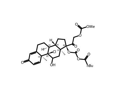 CCCCC(=O)OC(=O)O[C@]1(C(=O)COC(=O)OC)CC[C@H]2[C@@H]3CCC4=CC(=O)C=C[C@]4(C)[C@@]3(Cl)C(O)C[C@@]21C